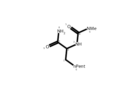 CCCCCCC(NC(=O)NC)C(N)=O